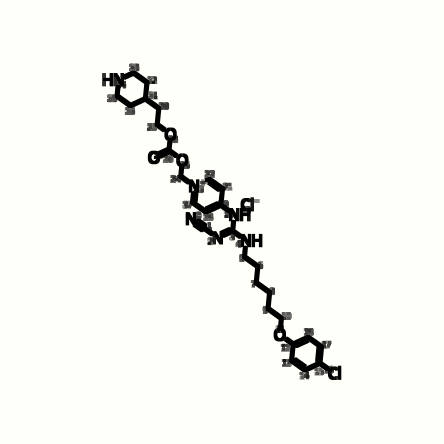 N#CN=C(NCCCCCCOc1ccc(Cl)cc1)Nc1cc[n+](COC(=O)OCCC2CCNCC2)cc1.[Cl-]